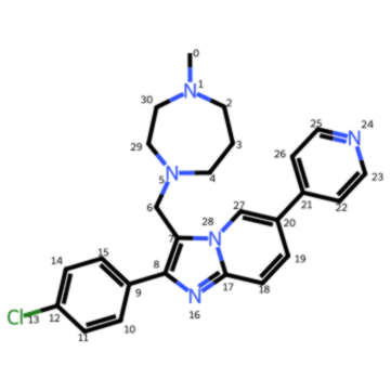 CN1CCCN(Cc2c(-c3ccc(Cl)cc3)nc3ccc(-c4ccncc4)cn23)CC1